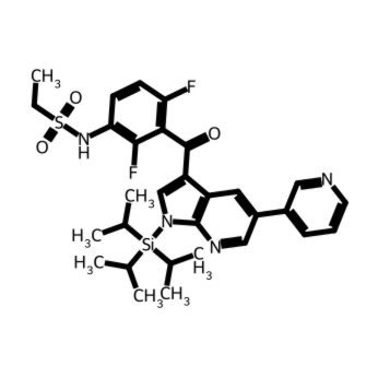 CCS(=O)(=O)Nc1ccc(F)c(C(=O)c2cn([Si](C(C)C)(C(C)C)C(C)C)c3ncc(-c4cccnc4)cc23)c1F